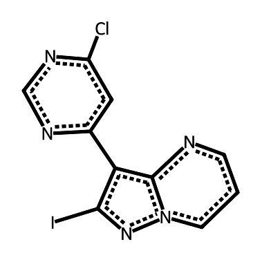 Clc1cc(-c2c(I)nn3cccnc23)ncn1